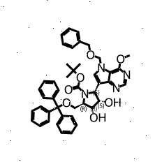 COc1ncnc2c([C@H]3[C@H](O)[C@H](O)[C@@H](COC(c4ccccc4)(c4ccccc4)c4ccccc4)N3C(=O)OC(C)(C)C)cn(COCc3ccccc3)c12